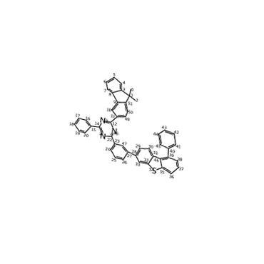 CC1(C)c2ccccc2-c2cc(-c3nc(-c4ccccc4)nc(-c4cccc(-c5ccc6c(c5)sc5cccc(-c7ccccc7)c56)c4)n3)ccc21